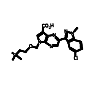 Cn1nc(-c2cnc3c(n2)c(C(=O)O)cn3COCC[Si](C)(C)C)c2cc(Cl)ccc21